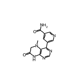 CN1CC(=O)Nc2ncnc(-c3cncc(C(N)=O)c3)c21